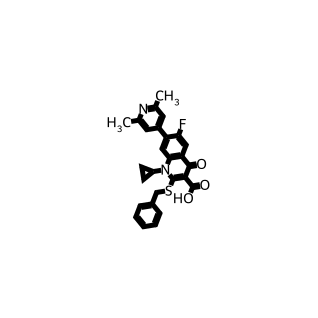 Cc1cc(-c2cc3c(cc2F)c(=O)c(C(=O)O)c(SCc2ccccc2)n3C2CC2)cc(C)n1